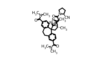 Cc1nnc(C2(C[C@@H](C)NCC(=O)N3CCC[C@H]3C#N)c3ccc(C(=O)N(C)C)cc3CCc3cc(C(=O)N(C)C)ccc32)o1